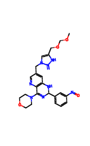 COCOCC1=CN(Cc2cnc3c(c2)NC(c2cccc(N=O)c2)N=C3N2CCOCC2)NN1